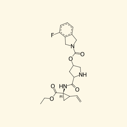 C=CC1C[C@]1(NC(=O)C1CC(OC(=O)N2Cc3cccc(F)c3C2)CN1)C(=O)OCC